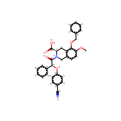 COc1ccc2c(c1OCc1ccccc1)C[C@H](C(=O)O)N(C(=O)[C@@H](Oc1ccc(C#N)cc1)c1ccccc1)C2